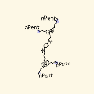 CCCCC/C=C\CCCO[Si](C)(CCCCN(C)[C@H]1CC[C@H](N(C)CCCC[Si](C)(OCCC/C=C\CCCCC)OCCC/C=C\CCCCC)CC1)OCCC/C=C\CCCCC